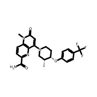 C[C@@H]1CN(c2cc(=O)n(C)c3ccc(C(N)=O)nc23)CC[C@@H]1Oc1ccc(C(F)(F)F)cc1